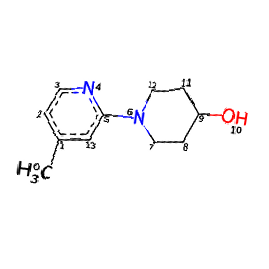 Cc1ccnc(N2CCC(O)CC2)c1